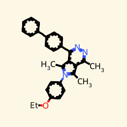 CCOc1ccc(-n2c(C)c3c(C)nnc(-c4ccc(-c5ccccc5)cc4)c3c2C)cc1